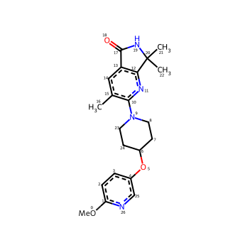 COc1ccc(OC2CCN(c3nc4c(cc3C)C(=O)NC4(C)C)CC2)cn1